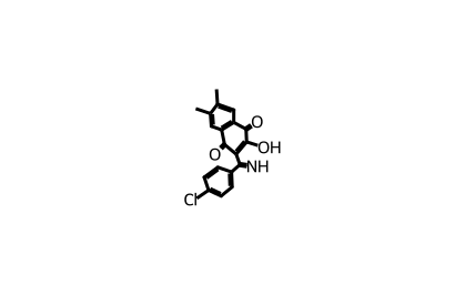 Cc1cc2c(cc1C)C(=O)C(C(=N)c1ccc(Cl)cc1)=C(O)C2=O